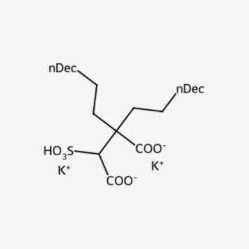 CCCCCCCCCCCCC(CCCCCCCCCCCC)(C(=O)[O-])C(C(=O)[O-])S(=O)(=O)O.[K+].[K+]